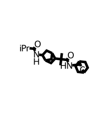 CC(C)C(=O)NC1CC2CC1CC2C(C)(C)C(=O)NC1CC2CCC1CC2